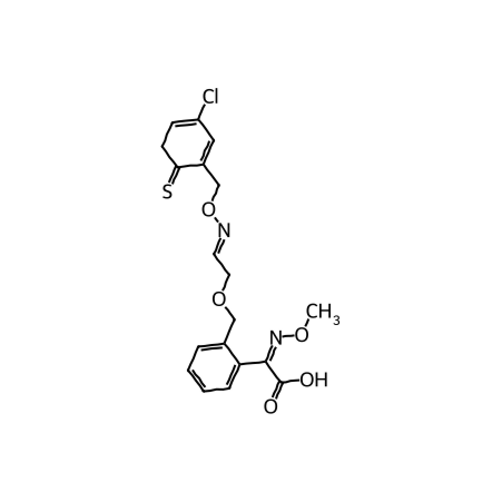 CON=C(C(=O)O)c1ccccc1COCC=NOCC1=CC(Cl)=CCC1=S